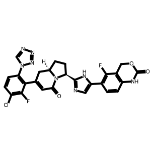 O=C1Nc2ccc(-c3cnc([C@@H]4CC[C@@H]5CC(c6c(-n7cnnn7)ccc(Cl)c6F)=CC(=O)N54)[nH]3)c(F)c2CO1